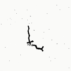 CCCCCC(C)(C)NCC=C(C)C